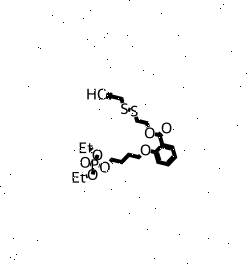 C#CCSSCCOC(=O)c1ccccc1OCCCCOP(=O)(OCC)OCC